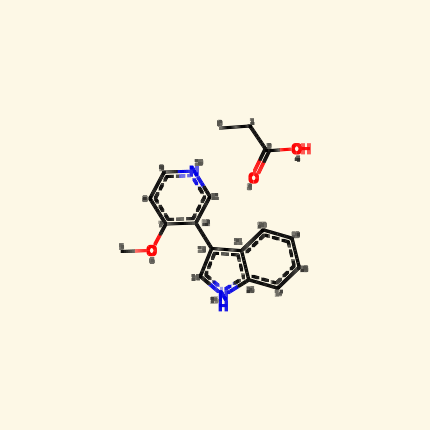 CCC(=O)O.COc1ccncc1-c1c[nH]c2ccccc12